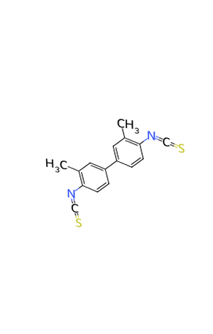 Cc1cc(-c2ccc(N=C=S)c(C)c2)ccc1N=C=S